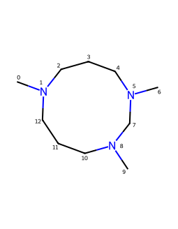 CN1CCCN(C)CN(C)CCC1